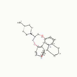 CCCC1CCC([C@@H]2COC3=C(c4c(ccc5c4CCCC5)OC2)C2CCCCC2C=C3)CC1